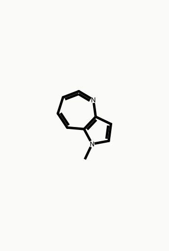 Cn1ccc2c1C=CC=C=N2